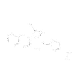 CC(O)c1cnn(C[C@@H]2NC(=O)[C@H]2N(Cc2ccccc2)C(=O)O)n1